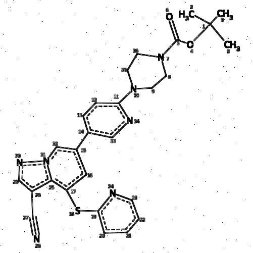 CC(C)(C)OC(=O)N1CCN(c2ccc(-c3cc(Sc4ccccn4)c4c(C#N)cnn4c3)cn2)CC1